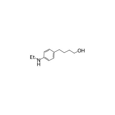 CCNc1ccc(CCCCO)cc1